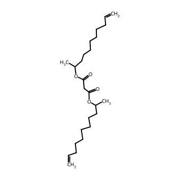 C=CCCCCCCCC(C)OC(=O)CC(=O)OC(C)CCCCCCCC=C